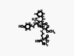 COC(=O)[C@H](CCCN(C(=N)N)[N+](=O)[O-])NC(=O)[C@H](Cc1ccccc1)N(C)C(=O)CCc1ccc(O)cc1